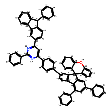 c1ccc(-c2cc(-c3ccccc3)c3c(c2)C2(c4ccccc4Oc4ccccc42)c2cc(-c4ccc(-c5cc(-c6ccc7c(c6)-c6ccccc6C7c6ccccc6)nc(-c6ccccc6)n5)cc4)ccc2-3)cc1